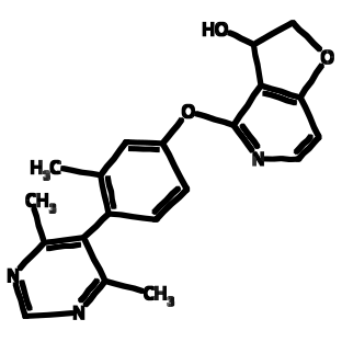 Cc1cc(Oc2nccc3c2C(O)CO3)ccc1-c1c(C)ncnc1C